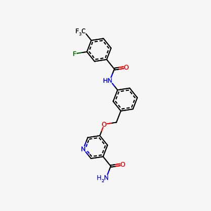 NC(=O)c1cncc(OCc2cccc(NC(=O)c3ccc(C(F)(F)F)c(F)c3)c2)c1